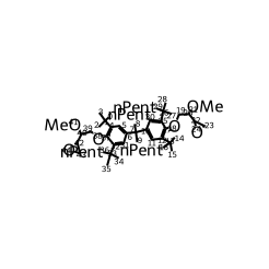 CCCCCC(C)(C)c1cc(C(C)(C)c2cc(C(C)(C)CCCCC)c(OCC(OC)C3CO3)c(C(C)(C)CCCCC)c2)cc(C(C)(C)CCCCC)c1OCC(OC)C1CO1